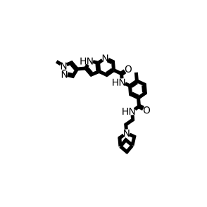 Cc1ccc(C(=O)NCCN2CC3CC(C3)C2)cc1NC(=O)c1cnc2[nH]c(-c3cnn(C)c3)cc2c1